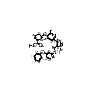 Cc1nc(-c2nnn(C)c2CNc2cc(Oc3ccccc3)ccn2)ccc1O[C@H]1CCC[C@H](C(=O)O)C1